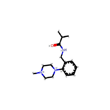 CC(C)C(=O)NCc1ccccc1N1CCN(C)CC1